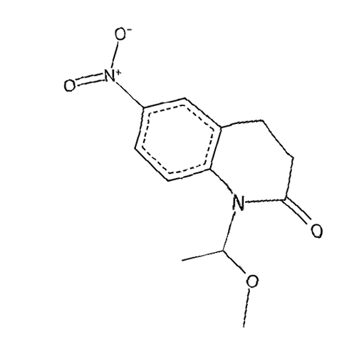 COC(C)N1C(=O)CCc2cc([N+](=O)[O-])ccc21